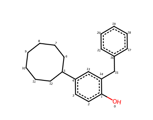 Oc1ccc(C2CCCCCCC2)cc1Cc1ccccc1